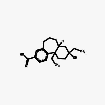 CC[C@]1(O)CC[C@]2(CC)c3ccc(C(=O)O)cc3CCC[C@@H]2C1